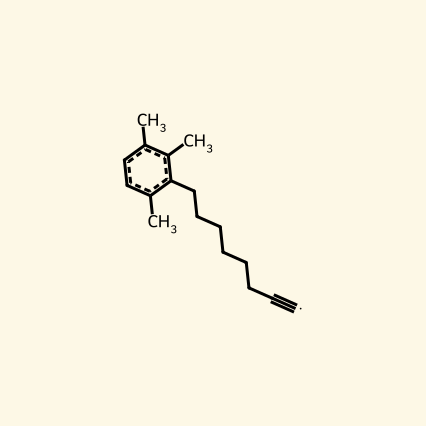 [C]#CCCCCCCc1c(C)ccc(C)c1C